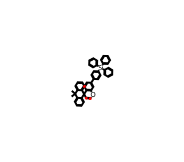 CC1(C)c2ccccc2C2(c3ccccc3Oc3cc(-c4ccc([Si](c5ccccc5)(c5ccccc5)c5ccccc5)cc4)ccc32)c2ccccc21